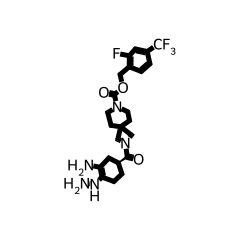 NNC1=C(N)C[C@@H](C(=O)N2CC3(CCN(C(=O)OCc4ccc(C(F)(F)F)cc4F)CC3)C2)CC1